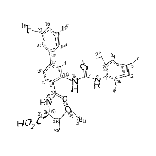 Cc1cc(C)c(NC(=O)Nc2cc(-c3cccc(F)c3)ccc2C(=O)N[C@H](C(=O)O)C(C)OC(C)(C)C)c(C)c1